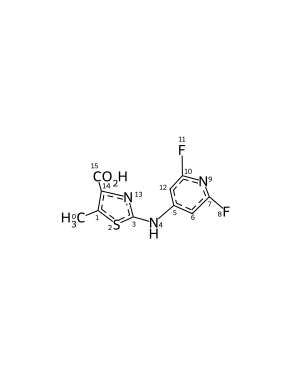 Cc1sc(Nc2cc(F)nc(F)c2)nc1C(=O)O